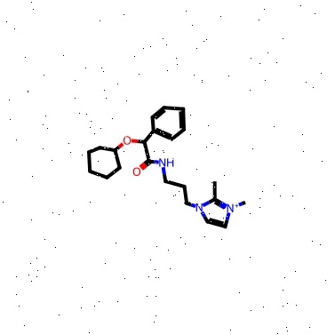 Cc1n(CCCNC(=O)C(OC2CCCCC2)c2ccccc2)cc[n+]1C